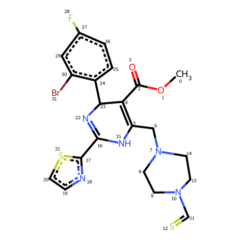 COC(=O)C1=C(CN2CCN(C=S)CC2)NC(c2nccs2)=NC1c1ccc(F)cc1Br